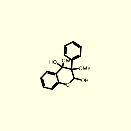 COC1(O)c2ccccc2OC(O)C1(OC)c1ccccc1